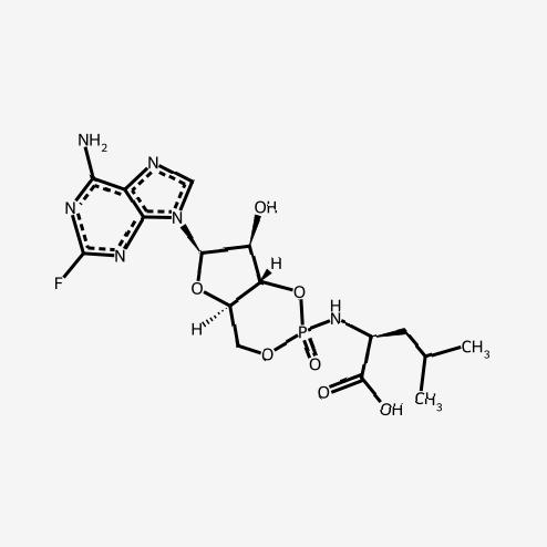 CC(C)C[C@H](NP1(=O)OC[C@H]2O[C@@H](n3cnc4c(N)nc(F)nc43)[C@@H](O)[C@@H]2O1)C(=O)O